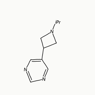 CC(C)N1CC(c2cncnc2)C1